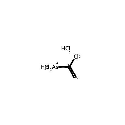 C=C(Cl)[AsH2].Cl.Cl